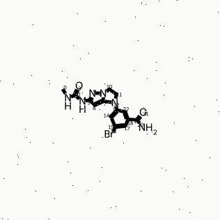 CNC(=O)Nc1cc2n(n1)CCN2c1cc(Br)cc(C(N)=O)c1